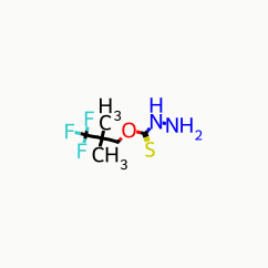 CC(C)(COC(=S)NN)C(F)(F)F